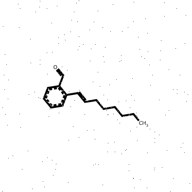 CCCCCCC=Cc1ccccc1C=O